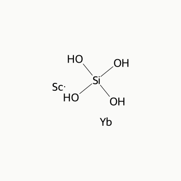 O[Si](O)(O)O.[Sc].[Yb]